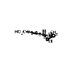 C=Cc1ccccc1N(Cc1ccccc1CC)C(=O)CCC(=O)NCCOCCOCCOCCOCCC(=O)O